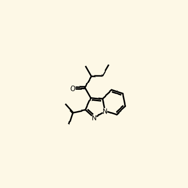 CCC(C)C(=O)c1c(C(C)C)nn2ccccc12